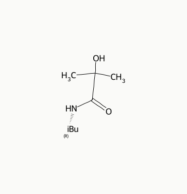 CC[C@@H](C)NC(=O)C(C)(C)O